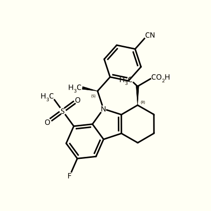 CC(C(=O)O)[C@H]1CCCc2c1n([C@@H](C)c1ccc(C#N)cc1)c1c(S(C)(=O)=O)cc(F)cc21